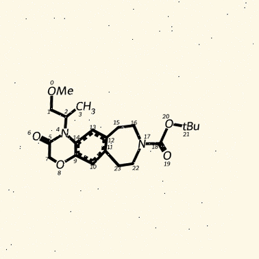 COCC(C)N1C(=O)COc2cc3c(cc21)CCN(C(=O)OC(C)(C)C)CC3